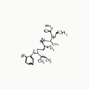 C=CCN(C(=O)OC(C)(C)C)C(C)/N=N\N(C)CCC(Nc1ccccc1Br)/C(C)=C/C